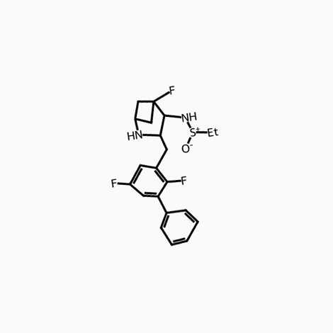 CC[S+]([O-])NC1C(Cc2cc(F)cc(-c3ccccc3)c2F)NC2CC1(F)C2